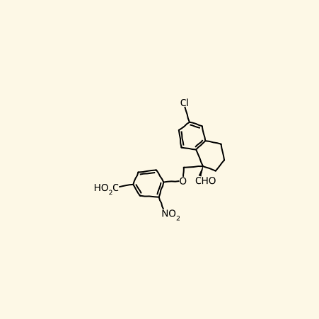 O=C[C@]1(COc2ccc(C(=O)O)cc2[N+](=O)[O-])CCCc2cc(Cl)ccc21